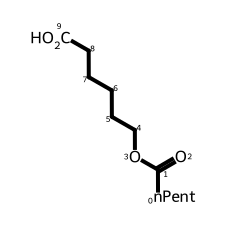 CCCCCC(=O)OCCCCCC(=O)O